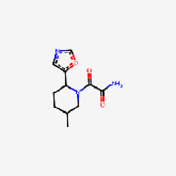 CC1CCC(c2cnco2)N(C(=O)C(N)=O)C1